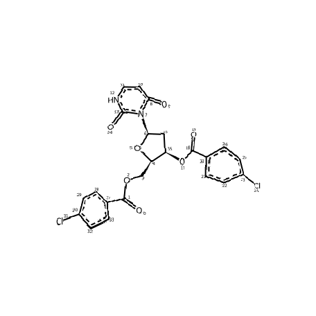 O=C(OC[C@H]1O[C@@H](n2c(=O)cc[nH]c2=O)C[C@H]1OC(=O)c1ccc(Cl)cc1)c1ccc(Cl)cc1